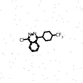 FC(F)(F)C1CCC(c2nnc(Cl)c3ccccc23)CC1